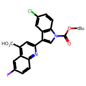 CC(C)(C)OC(=O)n1cc(-c2cc(C(=O)O)c3cc(I)ccc3n2)c2cc(Cl)ccc21